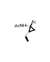 C=C[C@H]1C[C@]1(NC(C)=O)C(C)=O